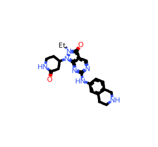 CCn1c(=O)c2cnc(Nc3ccc4c(c3)CCNC4)nc2n1C1CCNC(=O)C1